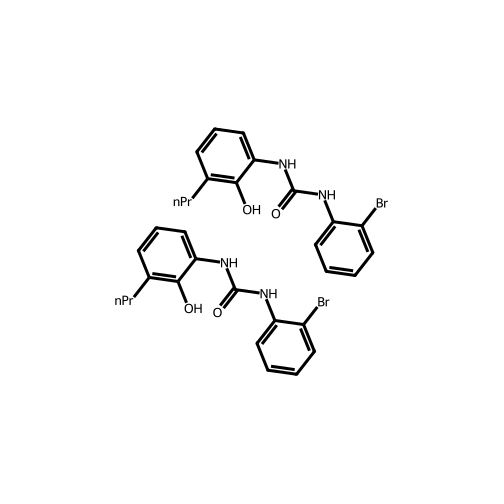 CCCc1cccc(NC(=O)Nc2ccccc2Br)c1O.CCCc1cccc(NC(=O)Nc2ccccc2Br)c1O